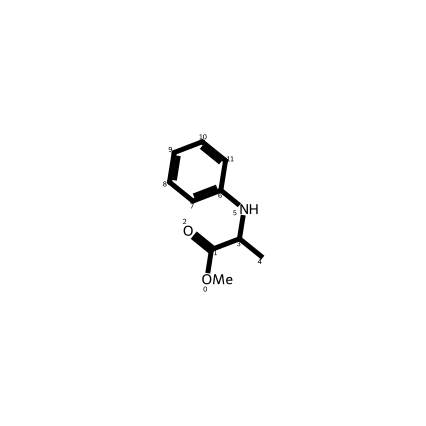 COC(=O)C(C)Nc1ccccc1